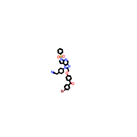 N#CCC1CCC(n2c(COc3ccc(C(=O)c4ccc(Br)cc4)cc3)nc3cnc4c(ccn4S(=O)(=O)c4ccccc4)c32)CC1